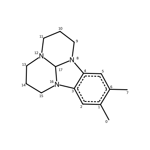 Cc1cc2c(cc1C)N1CCCN3CCCN2C31